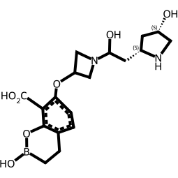 O=C(O)c1c(OC2CN(C(O)C[C@@H]3C[C@H](O)CN3)C2)ccc2c1OB(O)CC2